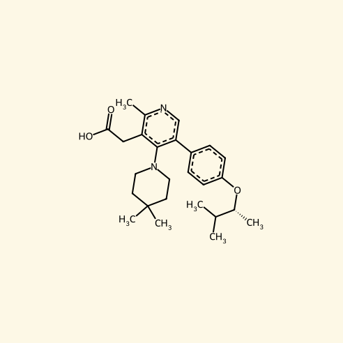 Cc1ncc(-c2ccc(O[C@H](C)C(C)C)cc2)c(N2CCC(C)(C)CC2)c1CC(=O)O